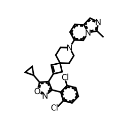 Cc1ncc2ccc(N3CCC4(C=C(c5c(-c6c(Cl)cccc6Cl)noc5C5CC5)C4)CC3)cn12